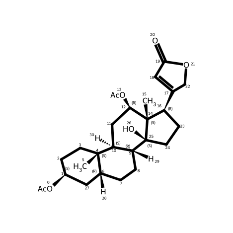 CC(=O)O[C@H]1CC[C@@]2(C)[C@H](CC[C@@H]3[C@@H]2C[C@@H](OC(C)=O)[C@]2(C)[C@@H](C4=CC(=O)OC4)CC[C@]32O)C1